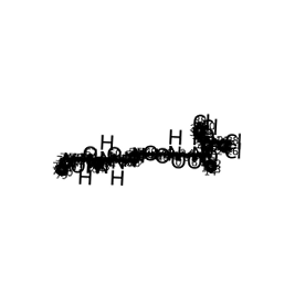 O=C(CCCC(=O)N[C@H](Cc1ccccc1)C(=O)N1C/C(=C\c2ccc(Cl)c(Cl)c2)C(=O)C(Cc2ccc(Cl)c(Cl)c2)C1)NCCOCCOCCN1CCN(CCNC(=O)CNc2cc(C(=O)NC[C@H](O)CN3CCc4ccccc4C3)ncn2)CC1